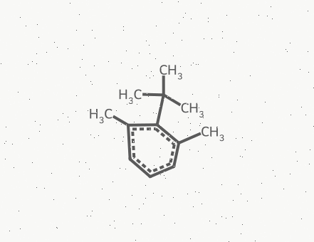 Cc1cccc(C)c1C(C)(C)C